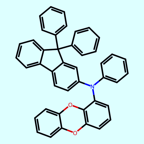 c1ccc(N(c2ccc3c(c2)C(c2ccccc2)(c2ccccc2)c2ccccc2-3)c2cccc3c2Oc2ccccc2O3)cc1